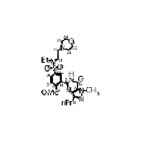 CCCc1nn(C)c2c(=O)[nH]c(-c3cc(S(=O)(=O)N(CC)CCN4CCOCC4)ccc3OC)nc12